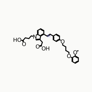 COc1ccccc1OCCCCOc1ccc(/C=C/c2cccc3c2c(CC(=O)O)cn3CCCC(=O)O)cc1